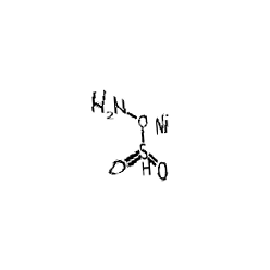 NO[SH](=O)=O.[Ni]